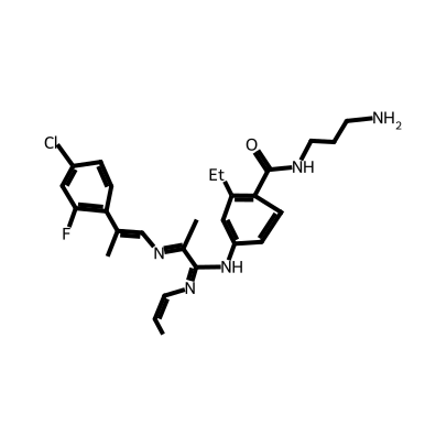 C\C=C/N=C(Nc1ccc(C(=O)NCCCN)c(CC)c1)\C(C)=N\C=C(/C)c1ccc(Cl)cc1F